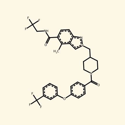 Cc1c(C(=O)NCC(F)(F)F)ccc2nn(CC3CCN(C(=O)c4ccc(Oc5cccc(C(F)(F)F)c5)cc4)CC3)cc12